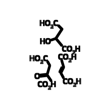 O=C(O)C=CC(=O)O.O=C(O)CC(=O)C(=O)O.O=C(O)CC(O)C(=O)O